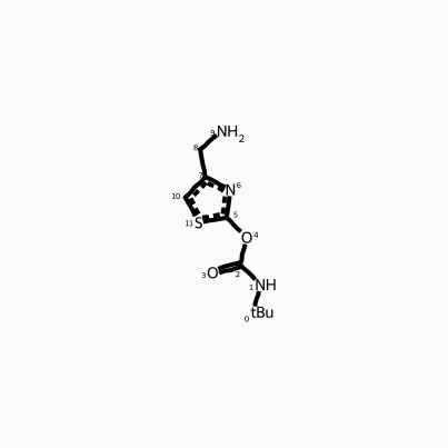 CC(C)(C)NC(=O)Oc1nc(CN)cs1